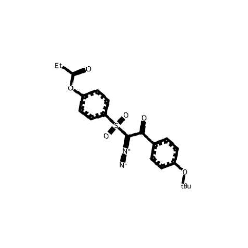 CCC(=O)Oc1ccc(S(=O)(=O)C(=[N+]=[N-])C(=O)c2ccc(OC(C)(C)C)cc2)cc1